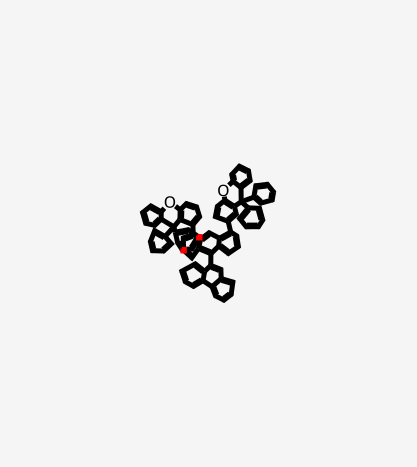 c1ccc(C2(c3ccccc3)c3ccccc3Oc3ccc(-c4cccc5c(-c6cc7ccccc7c7ccccc67)c6cccc(-c7cccc8c7C(c7ccccc7)(c7ccccc7)c7ccccc7O8)c6cc45)cc32)cc1